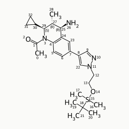 CC(=O)N1c2ccc(-c3cnn(CCO[Si](C)(C)C(C)(C)C)c3)cc2[C@H](N)[C@@H](C)[C@@H]1C1CC1